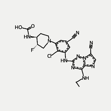 CCNc1nc(Nc2cc(C#N)cc(N3CC[C@H](NC(=O)O)[C@@H](F)C3)c2Cl)nn2c(C#N)cnc12